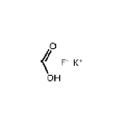 O=CO.[F-].[K+]